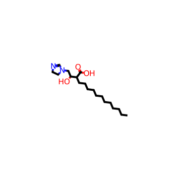 CCCCCCCCCCCCC(C(=O)O)C(O)CN1C=NCC1